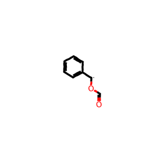 O=CO[CH]c1ccccc1